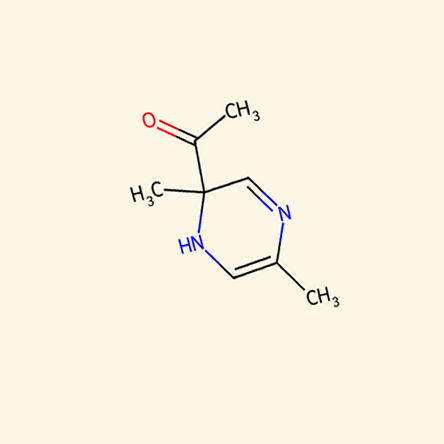 CC(=O)C1(C)C=NC(C)=CN1